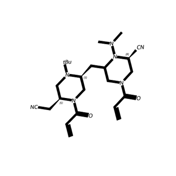 C=CC(=O)N1CC(C[C@H]2CN(C(=O)C=C)[C@@H](CC#N)CN2C(C)(C)C)N(N(C)C)[C@@H](C#N)C1